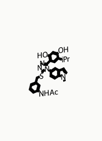 CC(=O)Nc1cccc(CSc2nnc(-c3cc(C(C)C)c(O)cc3O)n2-c2ccc3c(ccn3C)c2)c1